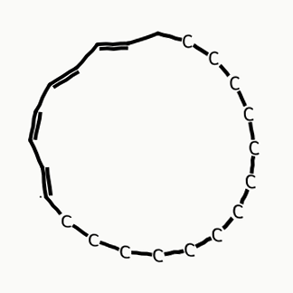 [C]1=C/C=C\C=C\C=C\CCCCCCCCCCCCCC/1